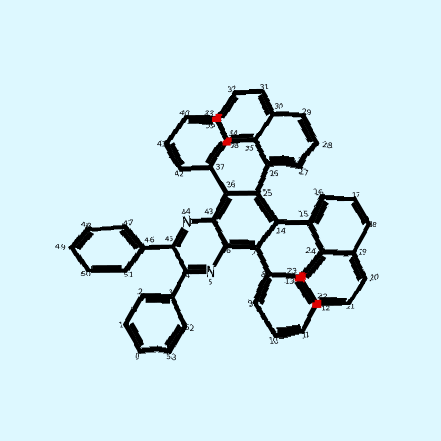 c1ccc(-c2nc3c(-c4ccccc4)c(-c4cccc5ccccc45)c(-c4cccc5ccccc45)c(-c4ccccc4)c3nc2-c2ccccc2)cc1